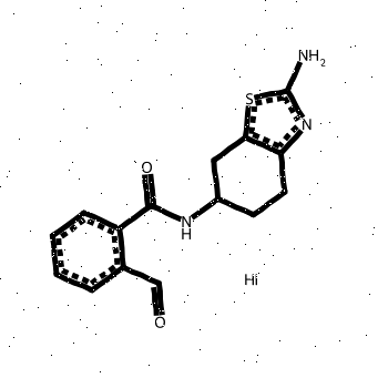 I.Nc1nc2c(s1)CC(NC(=O)c1ccccc1C=O)CC2